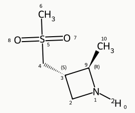 [2H]N1C[C@H](CS(C)(=O)=O)[C@H]1C